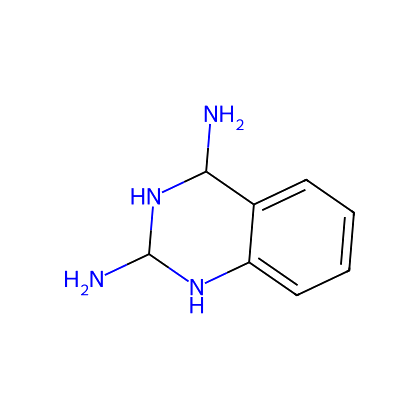 NC1Nc2ccccc2C(N)N1